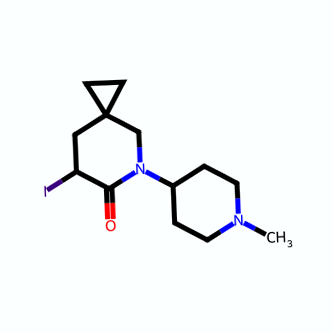 CN1CCC(N2CC3(CC3)CC(I)C2=O)CC1